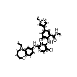 CCN1CCCOc2ccc(Nc3ncc(Cl)c(Nc4c(F)cc(-c5cnn(C)c5)cc4C(=O)NC)n3)cc21